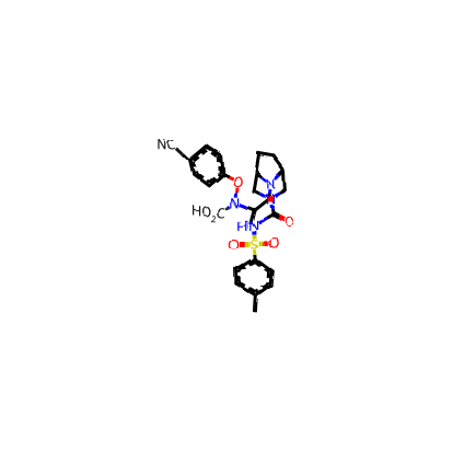 Cc1ccc(S(=O)(=O)NC(=O)N2CC3CCC(C2)N3CC(C)N(Oc2ccc(C#N)cc2)C(=O)O)cc1